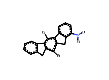 CCc1c2c(c(CC)c3c1Cc1c-3cccc1N(CC)CC)-c1ccccc1C2